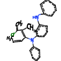 C=C(Cl)/C(C)=C(\C=C/C)N(c1ccccc1)c1cccc(Nc2ccccc2)c1